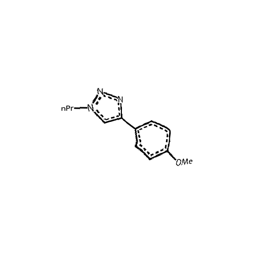 CCCn1cc(-c2ccc(OC)cc2)nn1